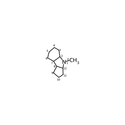 CN1C2CCCCC2C2CCCC21